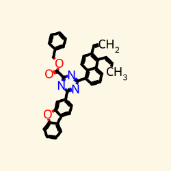 C=Cc1ccc2c(-c3nc(C(=O)OCc4ccccc4)nc(-c4ccc5c(c4)oc4ccccc45)n3)cccc2c1/C=C\C